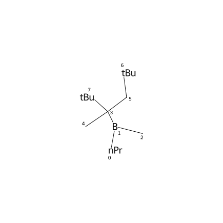 CCCB(C)C(C)(CC(C)(C)C)C(C)(C)C